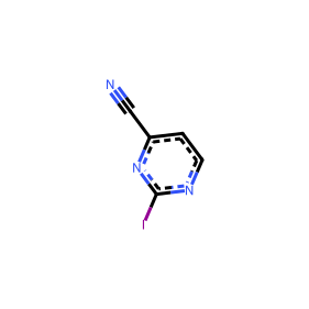 N#Cc1ccnc(I)n1